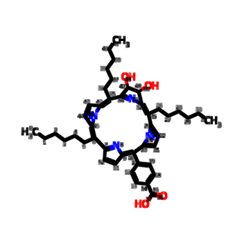 CCCCCCc1c2nc(c(-c3ccc(C(=O)O)cc3)c3ccc([nH]3)c(CCCCCC)c3nc(c(CCCCCC)c4ccc1[nH]4)[C@@H](O)[C@H]3O)C=C2